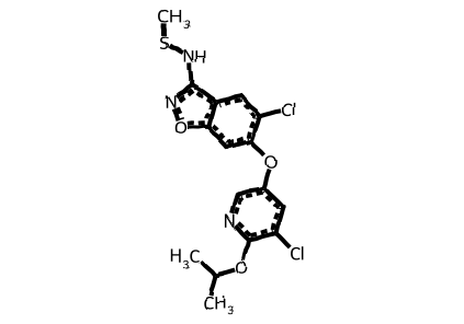 CSNc1noc2cc(Oc3cnc(OC(C)C)c(Cl)c3)c(Cl)cc12